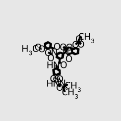 COOc1cccc2c(=O)n(-c3cc(C(=O)Nc4ccc(S(=O)(=O)Nc5nc(C)c(C)o5)cc4)cc(-n4c(=O)oc5c(OC(=O)OC)cccc5c4=O)c3)c(=O)oc12